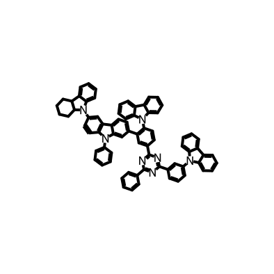 c1c(N2c3ccccc3C3CCCCC32)cc2c3ccc(-c4cc(-c5nc(-c6ccccc6)nc(-c6cccc(-n7c8ccccc8c8ccccc87)c6)n5)ccc4-n4c5ccccc5c5ccccc54)cc3n(-c3ccccc3)c2c#1